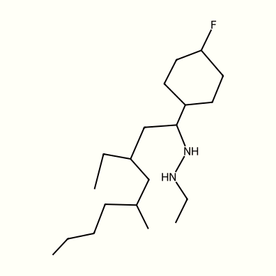 CCCCC(C)CC(CC)CC(NNCC)C1CCC(F)CC1